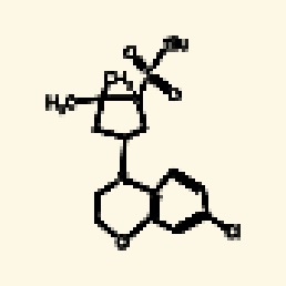 CC1(C)CC(N2CCOc3cc(Cl)ccc32)CN1S(=O)(=O)C(C)(C)C